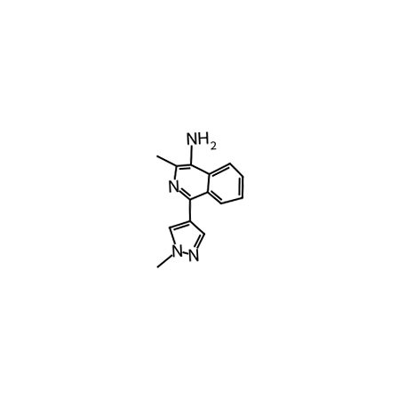 Cc1nc(-c2cnn(C)c2)c2ccccc2c1N